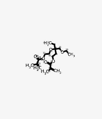 [CH2]CC(CCOC(=O)C(=C)C)(COCC)OCCOC(=O)C(=C)C